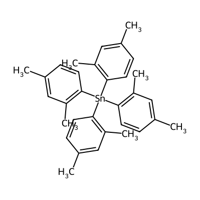 Cc1cc[c]([Sn]([c]2ccc(C)cc2C)([c]2ccc(C)cc2C)[c]2ccc(C)cc2C)c(C)c1